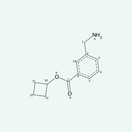 NCc1cccc(C(=O)OC2CCC2)c1